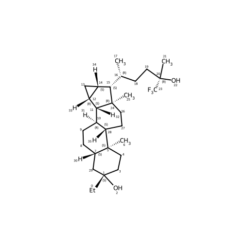 CC[C@]1(O)CC[C@@]2(C)[C@@H](CC[C@H]3[C@@H]4[C@@H]5C[C@@H]5[C@H]([C@H](C)CC[C@@](C)(O)C(F)(F)F)[C@@]4(C)CC[C@@H]32)C1